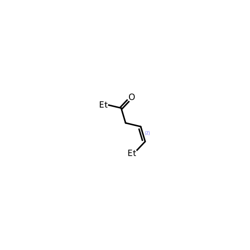 [CH2]CC(=O)C/C=C\CC